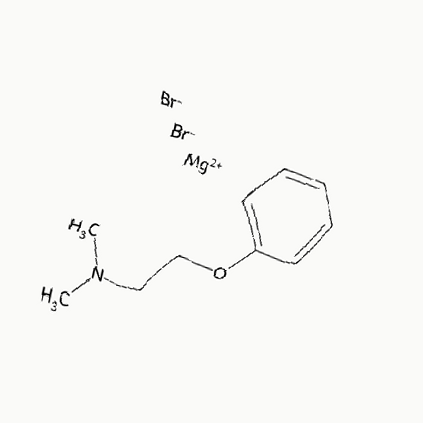 CN(C)CCOc1ccccc1.[Br-].[Br-].[Mg+2]